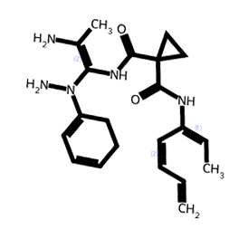 C=C/C=C\C(=C/C)NC(=O)C1(C(=O)N/C(=C(\C)N)N(N)C2=CC=CCC2)CC1